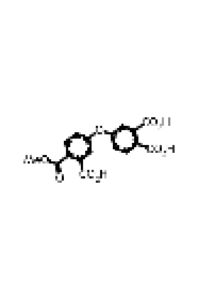 COC(=O)c1ccc(Oc2ccc(C(=O)O)c(C(=O)O)c2)cc1C(=O)O